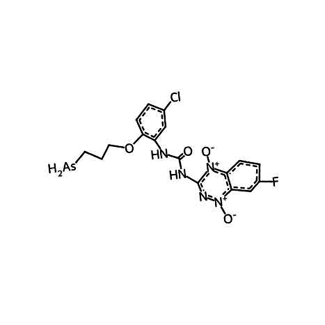 O=C(Nc1cc(Cl)ccc1OCCC[AsH2])Nc1n[n+]([O-])c2cc(F)ccc2[n+]1[O-]